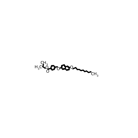 CCCCCCCCCCCOc1ccc2cc(OCc3ccc(C(=O)OC[C@H](C)CC)cc3)ccc2c1